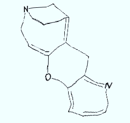 C1=C2Oc3cccnc3CC2=C2CN(C1)C2